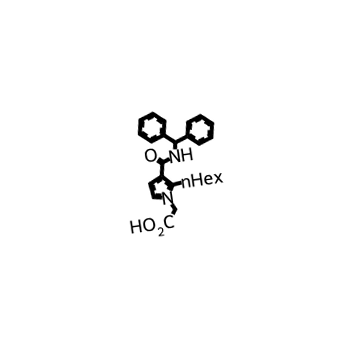 CCCCCCc1c(C(=O)NC(c2ccccc2)c2ccccc2)ccn1CC(=O)O